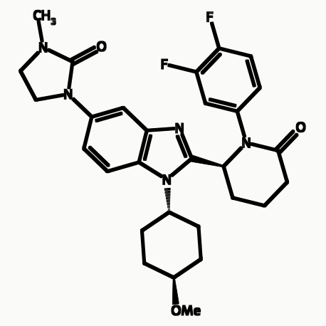 CO[C@H]1CC[C@H](n2c([C@@H]3CCCC(=O)N3c3ccc(F)c(F)c3)nc3cc(N4CCN(C)C4=O)ccc32)CC1